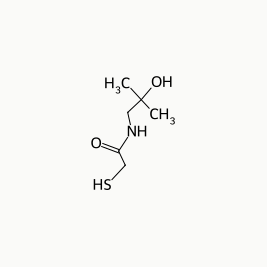 CC(C)(O)CNC(=O)CS